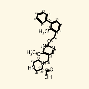 COc1nc(OCc2cccc(-c3ccccc3)c2C)ncc1CN1CCNC[C@H]1C(=O)O